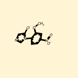 COc1cc([N+](=O)[O-])ccc1-n1cncc1Cl